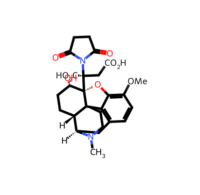 COc1ccc2c3c1O[C@@]1([C@@](CC(=O)O)(C(=O)O)N4C(=O)CCC4=O)[C@@H](O)CC[C@H]4[C@@H](C2)N(C)CC[C@@]341